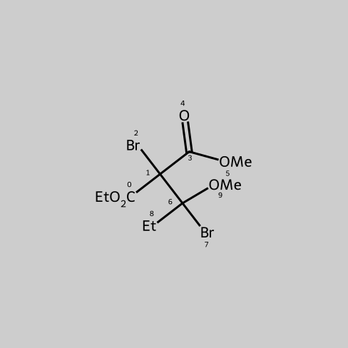 CCOC(=O)C(Br)(C(=O)OC)C(Br)(CC)OC